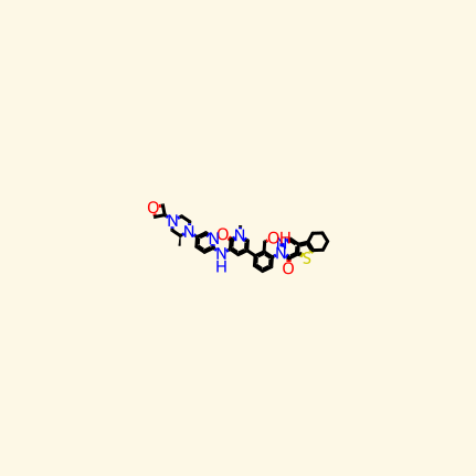 C[C@H]1CN(C2COC2)CCN1c1ccc(Nc2cc(-c3cccc(-n4ncc5c6c(sc5c4=O)CCCC6)c3CO)cn(C)c2=O)nc1